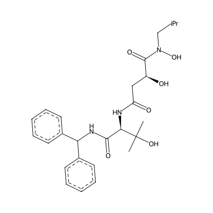 CC(C)CN(O)C(=O)[C@@H](O)CC(=O)N[C@H](C(=O)NC(c1ccccc1)c1ccccc1)C(C)(C)O